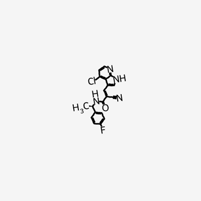 C[C@@H](NC(=O)/C(C#N)=C/c1c[nH]c2nccc(Cl)c12)c1ccc(F)cc1